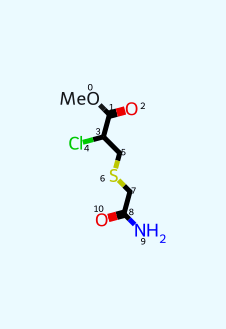 COC(=O)C(Cl)CSCC(N)=O